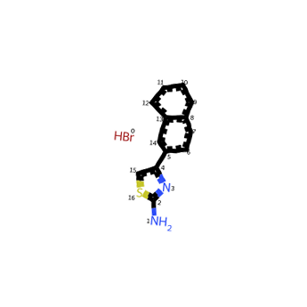 Br.Nc1nc(-c2ccc3ccccc3c2)cs1